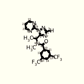 [2H]c1nc(C(C)N(C)C(=O)c2cc(C(F)(F)F)cc(C(F)(F)F)c2)n(-c2ncccn2)n1